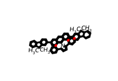 CC1(C)c2ccccc2-c2ccc(-c3ccc4c(-n5c(-c6ccccc6)ccc5-c5ccccc5)c5cc(-c6ccc7c(c6)C(C)(C)C6C=CC=CC76)ccc5cc4c3)cc21